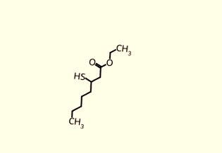 CCCCCC(S)CC(=O)OCC